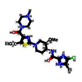 CCOC(=O)c1sc(N2CC[C@@H](NC(=O)c3nc(Cl)c(CC)[nH]3)[C@@H](OC)C2)nc1C(=O)N1CCN(C)CC1